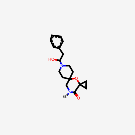 CCN1CC2(CCN(C(O)Cc3ccccc3)CC2)OC2(CC2)C1=O